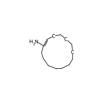 NC1=CCCCCCCCCCCCC1